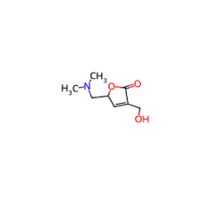 CN(C)CC1C=C(CO)C(=O)O1